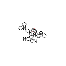 N#Cc1cc(-n2c3ccccc3c3cc(-n4c5ccccc5c5ccccc54)ccc32)c(-n2c3ccccc3c3c4c(ccc32)C2C=CC=CC2O4)cc1C#N